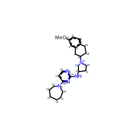 COc1ccc2c(c1)CC(N1CCC(Nc3nccc(N4CCCCCC4)n3)C1)CC2